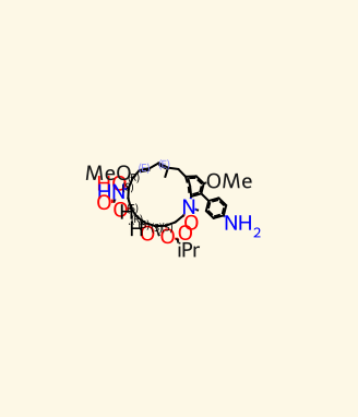 COc1cc2cc(c1-c1ccc(N)cc1)N(C)C(=O)C[C@H](OC(=O)C(C)C)[C@]1(C)O[C@H]1[C@H](C)[C@@H]1C[C@@](O)(NC(=O)O1)[C@H](OC)/C=C/C=C(\C)C2